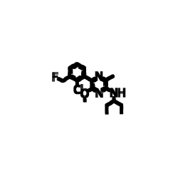 CCC(CC)Nc1nc(OC)c(-c2cccc(CF)c2Cl)nc1C